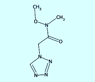 CON(C)C(=O)Cn1cnnn1